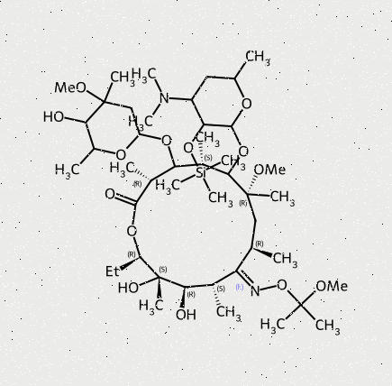 CC[C@H]1OC(=O)[C@H](C)C(OC2CC(C)(OC)C(O)C(C)O2)[C@H](C)C(OC2OC(C)CC(N(C)C)C2O[Si](C)(C)C)[C@](C)(OC)C[C@@H](C)/C(=N\OC(C)(C)OC)[C@H](C)[C@@H](O)[C@]1(C)O